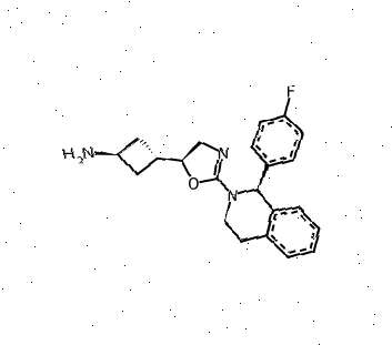 N[C@H]1C[C@H]([C@H]2CN=C(N3CCc4ccccc4[C@@H]3c3ccc(F)cc3)O2)C1